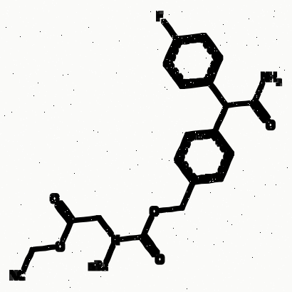 CCCCN(CC(=O)OCC#N)C(=O)OCc1ccc(C(C(N)=O)c2ccc(F)cc2)cc1